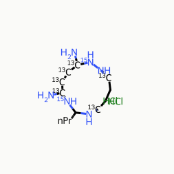 CCCC1N[13CH2]CC[13CH2]N[15NH][13CH](N)[13CH2][13CH2][13CH](N)[15NH]1.Cl.Cl